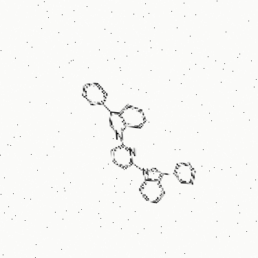 c1ccc(-c2cn(-c3cccc(-n4cc(-c5ccccc5)c5ccccc54)n3)c3ccccc23)cc1